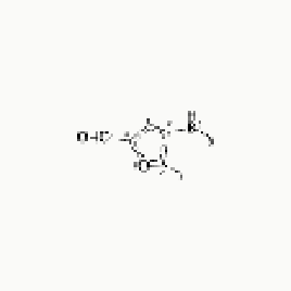 CBc1cc(C=O)oc1C